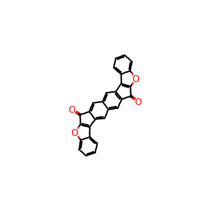 O=c1c2cc3cc4c(cc3cc2c2c1oc1ccccc12)c(=O)c1oc2ccccc2c14